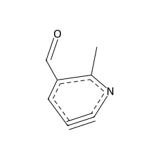 Cc1nc#ccc1C=O